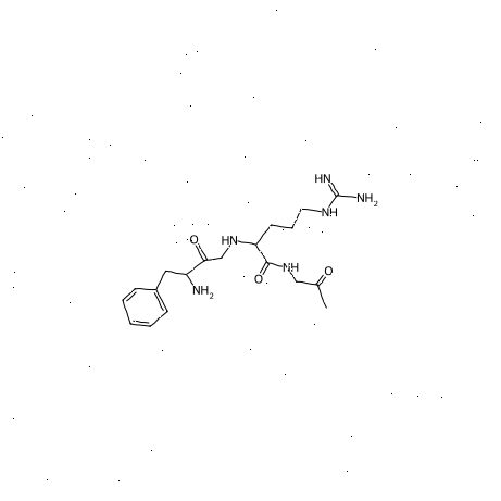 CC(=O)CNC(=O)C(CCCNC(=N)N)NCC(=O)C(N)Cc1ccccc1